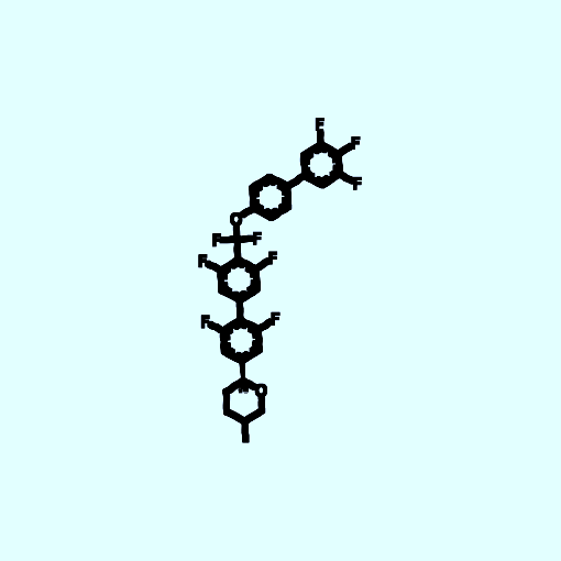 CC1CC[C@@H](c2cc(F)c(-c3cc(F)c(C(F)(F)Oc4ccc(-c5cc(F)c(F)c(F)c5)cc4)c(F)c3)c(F)c2)OC1